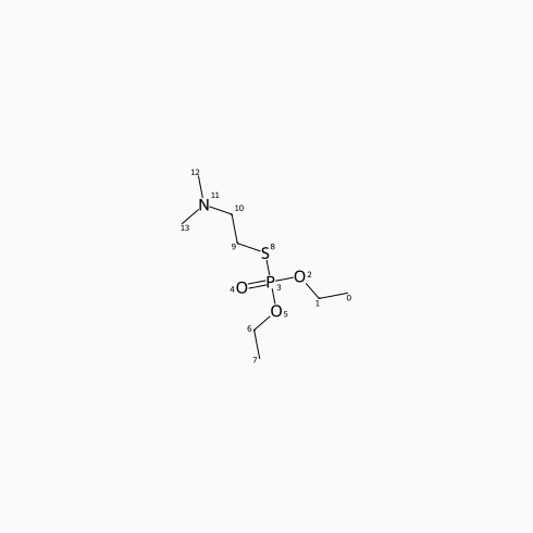 CCOP(=O)(OCC)SCCN(C)C